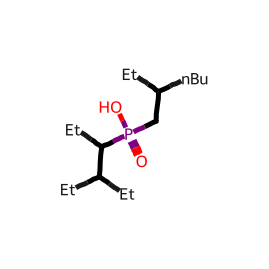 CCCCC(CC)CP(=O)(O)C(CC)C(CC)CC